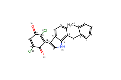 Cc1ccccc1Cc1cccc2c(C3=C(Cl)C(=O)C=C(Cl)C3=O)c[nH]c12